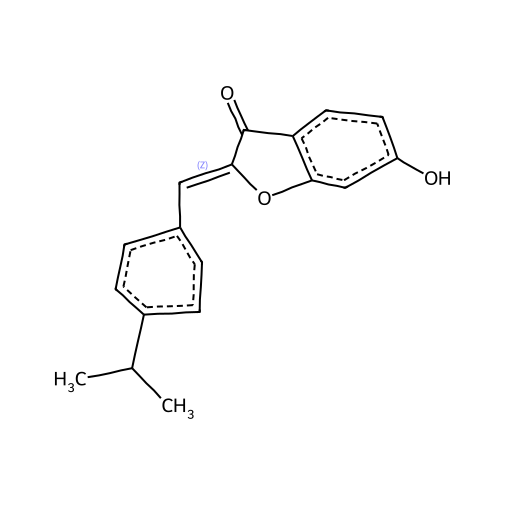 CC(C)c1ccc(/C=C2\Oc3cc(O)ccc3C2=O)cc1